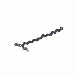 CC/C=C/C/C=C/C/C=C/C/C=C/C/C=C/CCC([C]=O)[N+](=O)[O-]